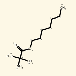 CCCCCCCOC(=O)C(C)(C)N